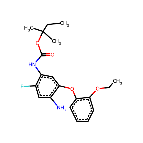 CCOc1ccccc1Oc1cc(NC(=O)OC(C)(C)CC)c(F)cc1N